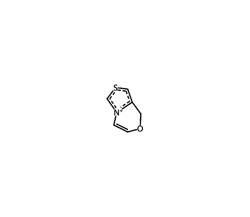 C1=C[n+]2cscc2CO1